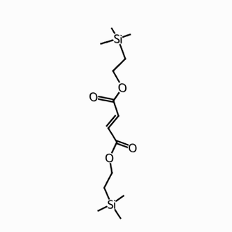 C[Si](C)(C)CCOC(=O)/C=C/C(=O)OCC[Si](C)(C)C